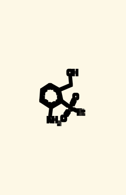 CCS(=O)(=O)c1c(N)cccc1CO